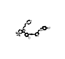 CS(=O)(=O)N1CCc2c(c(-c3ccc(Cl)c(C#Cc4cncc(CNCc5ccc(Cl)cc5)c4)c3)nn2CCCN2CCOCC2)C1